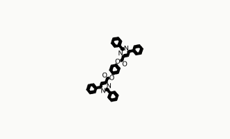 O=C(Oc1ccc(OC(=O)c2cc(-c3ccccc3)nc(-c3ccccc3)n2)cc1)c1cc(-c2ccccc2)nc(-c2ccccc2)n1